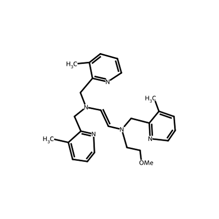 COCCN(/C=C/N(Cc1ncccc1C)Cc1ncccc1C)Cc1ncccc1C